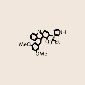 CCC(=O)N(c1cc[nH]c1)C1C=Cc2nc3ccccc3c(Cc3cc(OC)cc(OC)c3)c2C1=O